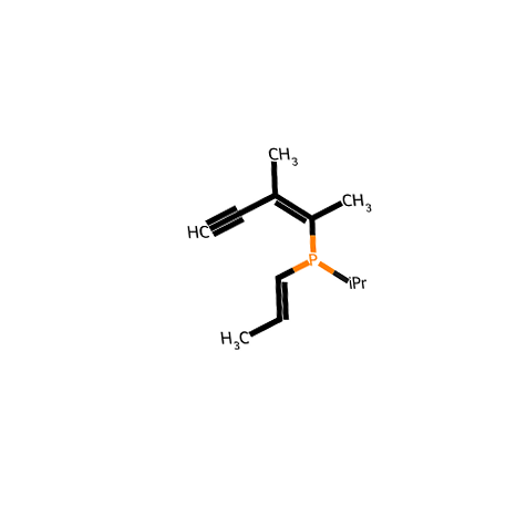 C#C/C(C)=C(/C)P(/C=C/C)C(C)C